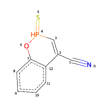 N#CC1=C[PH](=S)Oc2ccccc21